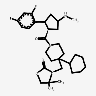 CNC1CC(c2ccc(F)cc2F)[C@H](C(=O)N2CCC(CN3C(=O)OCC3(C)C)(C3CCCCC3)CC2)C1